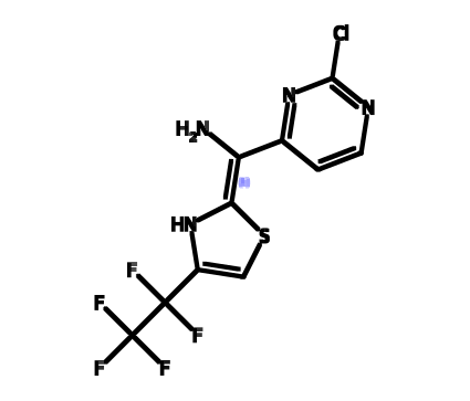 N/C(=C1\NC(C(F)(F)C(F)(F)F)=CS1)c1ccnc(Cl)n1